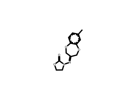 Cc1ccc2c(c1)OCC(=NN1CCOC1=O)CO2